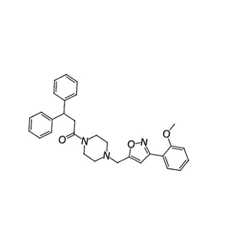 COc1ccccc1-c1cc(CN2CCN(C(=O)CC(c3ccccc3)c3ccccc3)CC2)on1